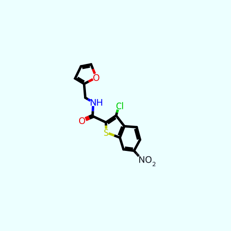 O=C(NCc1ccco1)c1sc2cc([N+](=O)[O-])ccc2c1Cl